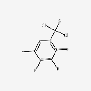 Fc1cc(C(Cl)(Cl)Cl)c(F)c(F)c1F